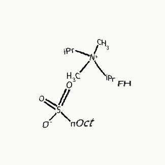 CC(C)[N+](C)(C)C(C)C.CCCCCCCCS(=O)(=O)[O-].F